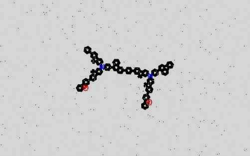 CC1(C)c2cc(-c3ccc(-c4ccc5cc(-c6ccc(N(c7ccc8c(c7)C(C)(C)c7cc(-c9ccccc9)ccc7-8)c7ccc8c(c7)C(C)(C)c7cc(-c9ccc%10c(c9)oc9ccccc9%10)ccc7-8)cc6)c6ccccc6c5c4)cc3)ccc2-c2ccc(N(c3ccc(-c4ccc5c6c(cccc46)-c4ccccc4-5)cc3)c3ccc4c(c3)C(C)(C)c3cc(-c5ccc6c(c5)oc5ccccc56)ccc3-4)cc21